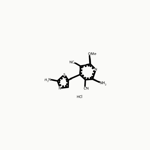 COc1nc(N)c(C#N)c(-c2cnc(N)s2)c1C#N.Cl